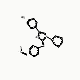 C=[NH+][O-].[OH-].c1ccc(N=c2[nH][n+](-c3ccccc3)cn2-c2ccccc2)cc1